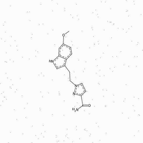 COc1ccc2c(CCn3c[c]c(C(N)=O)n3)c[nH]c2c1